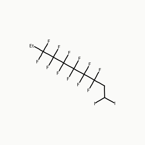 CCC(F)(F)C(F)(F)C(F)(F)C(F)(F)C(F)(F)C(F)(F)CC(I)I